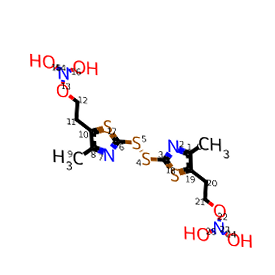 Cc1nc(SSc2nc(C)c(CCON(O)O)s2)sc1CCON(O)O